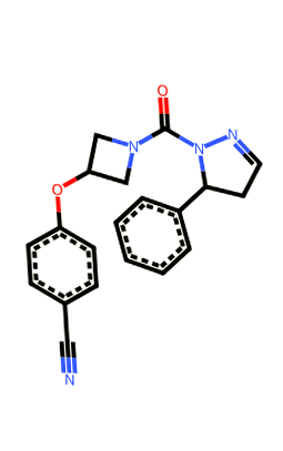 N#Cc1ccc(OC2CN(C(=O)N3N=CCC3c3ccccc3)C2)cc1